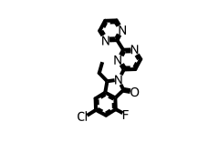 CCC1c2cc(Cl)cc(F)c2C(=O)N1c1ccnc(-c2ncccn2)n1